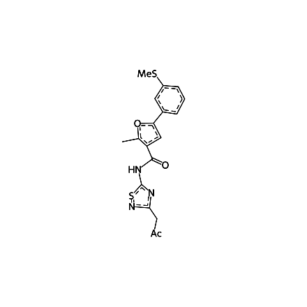 CSc1cccc(-c2cc(C(=O)Nc3nc(CC(C)=O)ns3)c(C)o2)c1